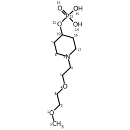 COCCOCCN1CCC(OP(=O)(O)O)CC1